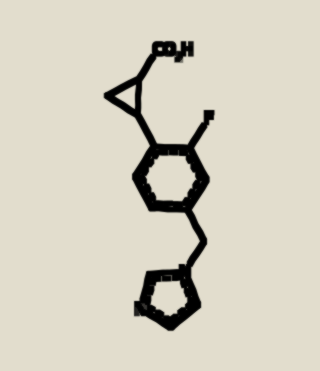 O=C(O)C1CC1c1ccc(Cn2ccnc2)cc1F